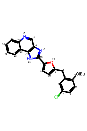 CC(C)COc1ccc(Cl)cc1Cc1ccc(-c2nc3cnc4ccccc4c3[nH]2)o1